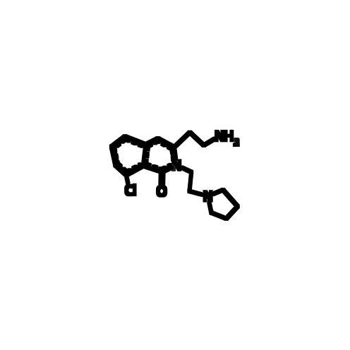 NCCc1cc2cccc(Cl)c2c(=O)n1CCN1CCCC1